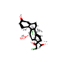 CCC(=O)[C@]1(C(=O)CCl)[C@@H](C)C[C@H]2[C@@H]3CCC4=CC(=O)C=C[C@]4(C)[C@@]3(F)[C@@H](O)C[C@@]21C